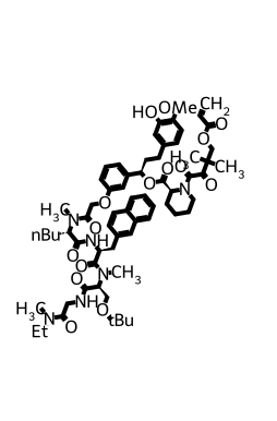 C=CC(=O)OCC(C)(C)C(=O)C(=O)N1CCCC[C@H]1C(=O)O[C@H](CCc1ccc(OC)c(O)c1)c1cccc(OCC(=O)N(C)[C@@H](CCCC)C(=O)N[C@@H](Cc2ccc3ccccc3c2)C(=O)N(C)[C@@H](COC(C)(C)C)C(=O)NCC(=O)N(C)CC)c1